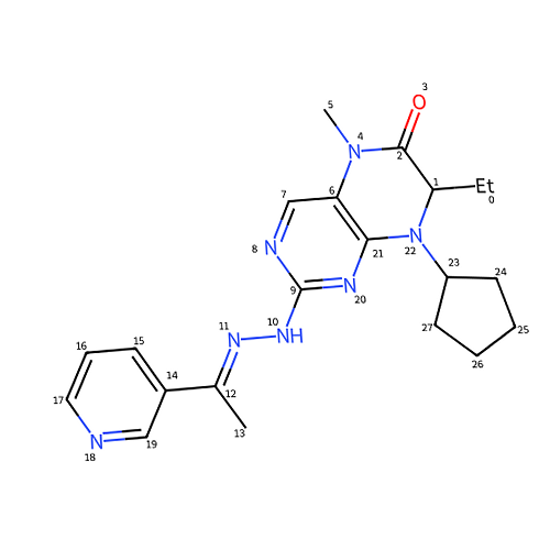 CCC1C(=O)N(C)c2cnc(N/N=C(\C)c3cccnc3)nc2N1C1CCCC1